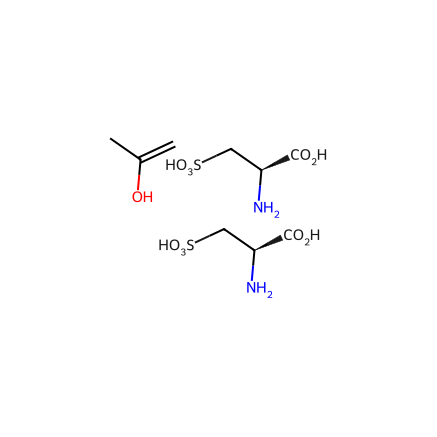 C=C(C)O.N[C@@H](CS(=O)(=O)O)C(=O)O.N[C@@H](CS(=O)(=O)O)C(=O)O